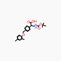 Cc1ccc(OCc2ccc(C(CNC(=O)OC(C)(C)C)C(=O)O)cc2)c(C)c1